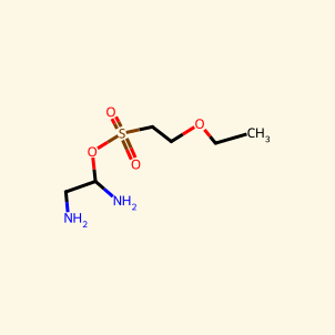 CCOCCS(=O)(=O)OC(N)CN